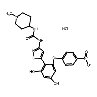 CN1CCC(NC(=O)Nc2cc(-c3c(O)cc(O)cc3Oc3ccc([N+](=O)[O-])cc3)on2)CC1.Cl